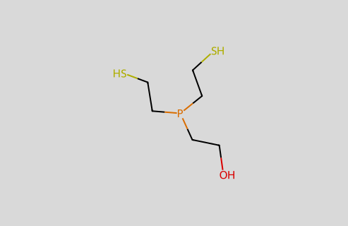 OCCP(CCS)CCS